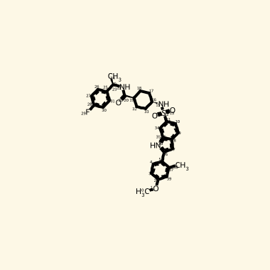 COc1ccc(-c2cc3ccc(S(=O)(=O)N[C@H]4CC[C@H](C(=O)N[C@H](C)c5ccc(F)cc5)CC4)cc3[nH]2)c(C)c1